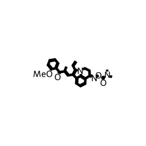 C=Cc1c(/C=C(\C)C(=O)c2ccccc2OC)c2cccc3c2n1CC/C3=N\OC(=O)N(C)C